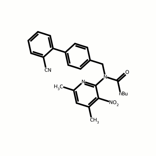 CCCCC(=O)N(Cc1ccc(-c2ccccc2C#N)cc1)c1nc(C)cc(C)c1[N+](=O)[O-]